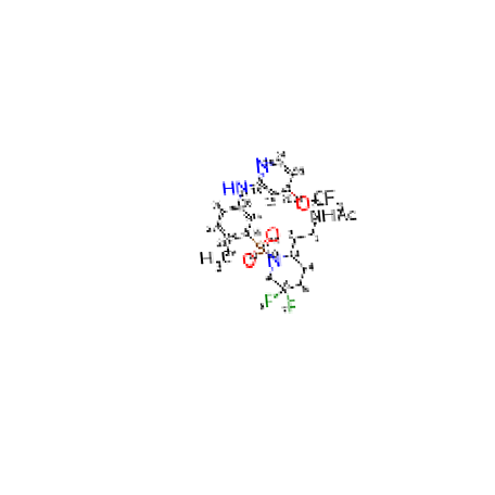 CC(=O)NCC[C@H]1CCC(F)(F)CN1S(=O)(=O)c1cc(Nc2cc(OC(F)(F)F)ccn2)ccc1C